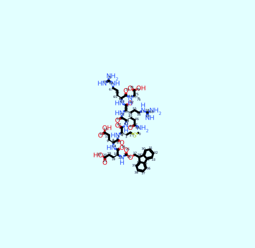 CSCC[C@H](NC(=O)[C@H](CCC(=O)O)NC(=O)[C@H](CCC(=O)O)NC(=O)OCC1c2ccccc2-c2ccccc21)C(=O)N[C@@H](CCC(N)=O)C(=O)N[C@@H](CCCNC(=N)N)C(=O)N[C@@H](CCCNC(=N)N)C(=O)N[C@@H](C)C(=O)O